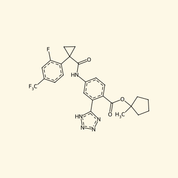 CC1(OC(=O)c2ccc(NC(=O)C3(c4ccc(C(F)(F)F)cc4F)CC3)cc2-c2nnn[nH]2)CCCC1